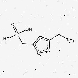 CCc1cc(CP(=O)(O)O)on1